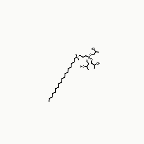 CCCCCCCCCCCCCCCCCC[N+](C)(C)CCC[Si](OCC(C)O)(OCC(C)O)OCC(C)O